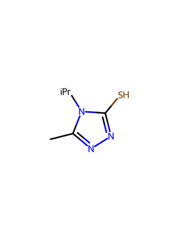 Cc1nnc(S)n1C(C)C